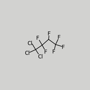 FC(C(F)(F)F)C(F)(F)C(Cl)(Cl)Cl